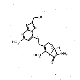 NC1C(=O)N2C(C(=O)O)=C(CSc3cc(C(=O)O)nc4nc(CO)nn34)CS[C@@H]12